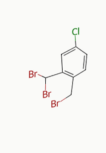 Clc1ccc(CBr)c(C(Br)Br)c1